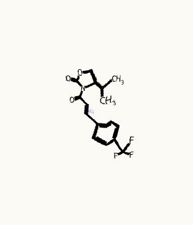 CC(C)C1COC(=O)N1C(=O)/C=C/c1ccc(C(F)(F)F)cc1